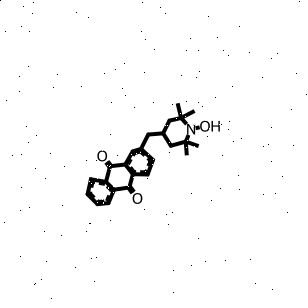 CC1(C)CC(Cc2ccc3c(c2)C(=O)c2ccccc2C3=O)CC(C)(C)N1O